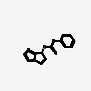 O=C(Oc1ccccc1)O[C@@H]1CCn2ccnc21